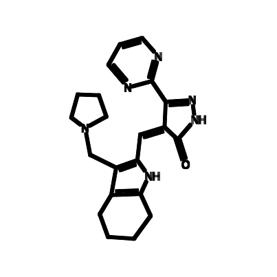 O=C1NN=C(c2ncccn2)C1=Cc1[nH]c2c(c1CN1CCCC1)CCCC2